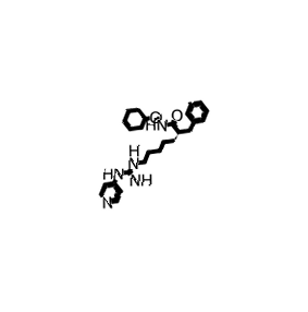 N=C(NCCCCC[C@@H](Cc1ccccc1)C(=O)NOC1CCCCC1)Nc1ccncc1